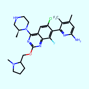 Cc1cc(N)nc(-c2c(Cl)cc3c(N4CCNC[C@@H]4C)nc(OCC4CCCN4C)nc3c2F)c1C(F)(F)F